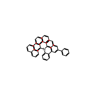 c1ccc(-c2cccc(-c3ccccc3N(c3ccccc3-c3ccccc3)c3ccccc3-c3cccc(-c4cccc5ccccc45)c3)c2)cc1